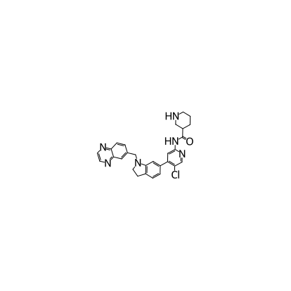 O=C(Nc1cc(-c2ccc3c(c2)N(Cc2ccc4nccnc4c2)CC3)c(Cl)cn1)C1CCCNC1